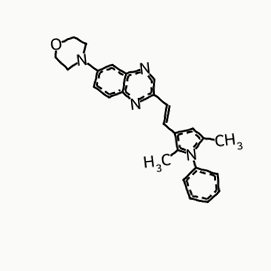 Cc1cc(C=Cc2cnc3cc(N4CCOCC4)ccc3n2)c(C)n1-c1ccccc1